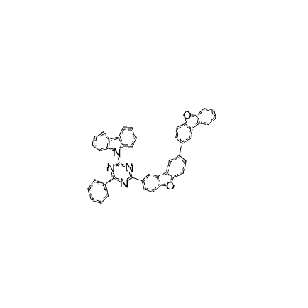 c1ccc(-c2nc(-c3ccc4oc5ccc(-c6ccc7oc8ccccc8c7c6)cc5c4c3)nc(-n3c4ccccc4c4ccccc43)n2)cc1